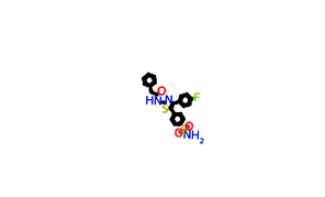 NS(=O)(=O)c1ccc(-c2sc(NC(=O)Cc3ccccc3)nc2-c2ccc(F)cc2)cc1